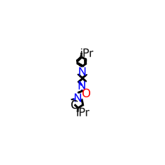 CC(C)c1ccc(N2CC3(CN(C(=O)CN4CCC(C(C)C)CC4)C3)C2)cc1